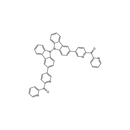 O=C(c1ccccn1)c1ccc(-c2ccc3c(c2)c2ccccc2n3-n2c3ccccc3c3cc(-c4ccc(C(=O)c5ccccn5)nc4)ccc32)cn1